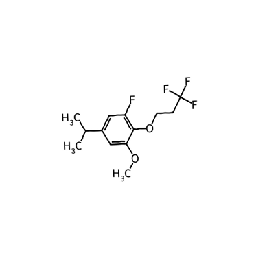 COc1cc(C(C)C)cc(F)c1OCCC(F)(F)F